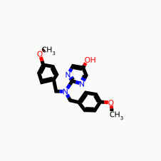 COc1ccc(CN(Cc2ccc(OC)cc2)c2ncc(O)cn2)cc1